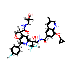 Cc1cnc2c(OC3CC3)cc(C(=O)NC[C@](O)(c3cc4c(c(-c5ccc(F)cc5)n3)OC[C@]4(C)C(=O)NCC(C)(C)O)C(F)(F)F)cc2c1